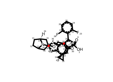 O=C(O)c1cc(F)c2nc(N3C4CC[C@H]3CC(OCc3c(-c5c(F)cccc5F)noc3C3CC3)C4)sc2c1